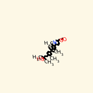 CCC(O)(CC)CCc1ccc(C(CC)(CC)c2ccc(-c3ccc(COC=O)cn3)c(C)c2)cc1C